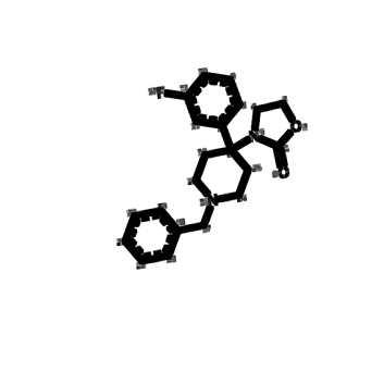 O=C1OCCN1C1(c2cccc(F)c2)CCN(Cc2ccccc2)CC1